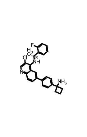 C[C@@H](Nc1c(Cl)cnc2ccc(-c3ccc(C4(N)CCC4)cc3)cc12)c1ccccc1F